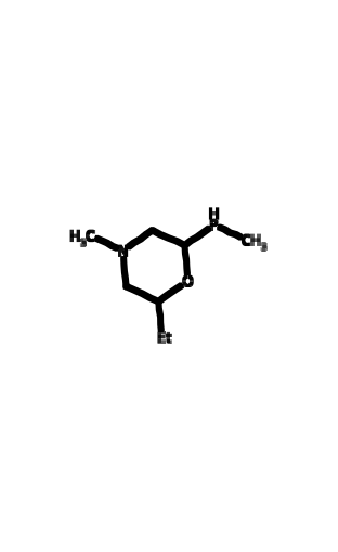 CCC1CN(C)CC(PC)O1